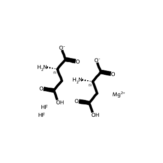 F.F.N[C@@H](CC(=O)O)C(=O)[O-].N[C@@H](CC(=O)O)C(=O)[O-].[Mg+2]